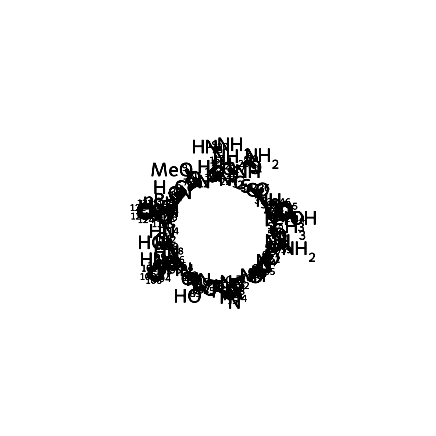 CCCC[C@H]1C(=O)N(C)[C@@H](CCOC)C(=O)N[C@@H](CCCNC(=N)N)C(=O)N[C@H](C(=O)NCC(N)=O)CSCC(=O)N[C@@H](Cc2ccc(O)cc2)C(=O)N(C)[C@@H](C)C(=O)N[C@@H](CC(N)=O)C(=O)N2CCC[C@H]2C(=O)N[C@@H](Cc2cnc[nH]2)C(=O)N[C@@H](CC(C)C)C(=O)N2C[C@H](O)C[C@H]2C(=O)N[C@@H](Cc2c[nH]c3ccccc23)C(=O)N[C@@H](CO)C(=O)N[C@@H](Cc2csc3ccccc23)C(=O)N1C